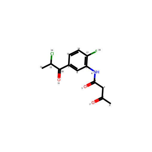 CC(=O)CC(=O)Nc1cc(C(=O)C(C)Cl)ccc1F